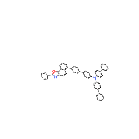 c1ccc(-c2ccc(N(c3ccc(-c4ccccc4)cc3)c3ccc(-c4ccc(-c5cccc6c5ccc5nc(-c7ccccc7)oc56)cc4)cc3)cc2)cc1